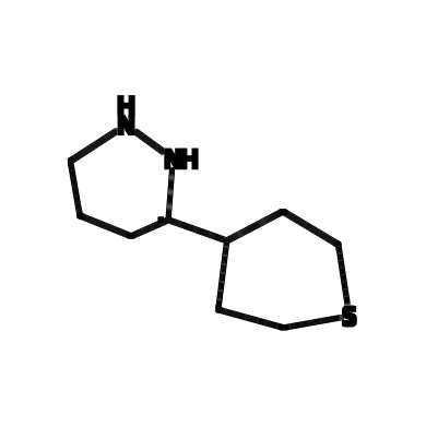 C1CNN[C](C2CCSCC2)C1